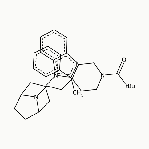 Cc1nc2ccccc2n1C1CC2CCC(C1)N2CCC1(c2ccccc2)CCN(C(=O)C(C)(C)C)CC1